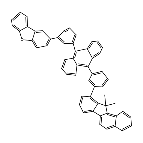 CC1(C)c2c(-c3cccc(-c4c5ccccc5c(-c5cccc(-c6ccc7oc8ccccc8c7c6)c5)c5ccccc45)c3)cccc2-c2ccc3ccccc3c21